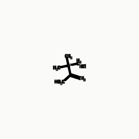 C=C(C(=O)O)[N+](C)(C)C.Cl